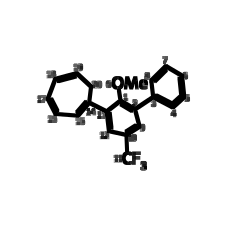 COc1c(C2=C=C=CC=C2)cc(C(F)(F)F)cc1C1=CC=CC=CC1